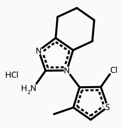 Cc1csc(Cl)c1-n1c(N)nc2c1CCCC2.Cl